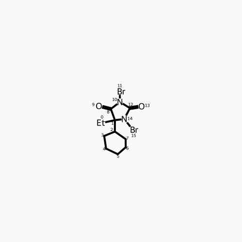 CCC1(C2CCCCC2)C(=O)N(Br)C(=O)N1Br